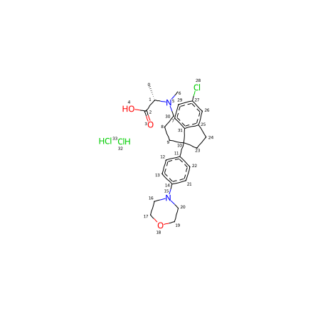 C[C@@H](C(=O)O)N(C)CCCC1(c2ccc(N3CCOCC3)cc2)CCc2cc(Cl)ccc21.Cl.Cl